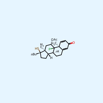 CCCC[C@]1(S)CC[C@H]2[C@@H]3CCC4=CC(=O)C=C[C@]4(C)C3(F)[C@@H](OC(C)=O)C[C@@]21C